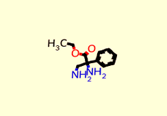 CCOC(=O)C(N)(CN)c1ccccc1